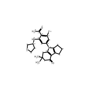 CC1(C)CC(=O)c2c3c(n(-c4cc(F)c(C(N)=O)c(N[C@H]5CCOC5)c4)c2C1)CCC3